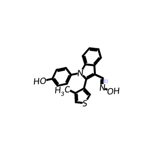 Cc1cscc1-c1c(/C=N/O)c2ccccc2n1-c1ccc(O)cc1